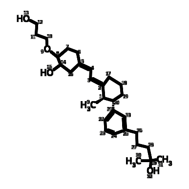 C[C@H]1/C(=C/C=C2/CCC(OCCCO)C(O)C2)CCC[C@@H]1c1cccc(CCCC(C)(C)O)c1